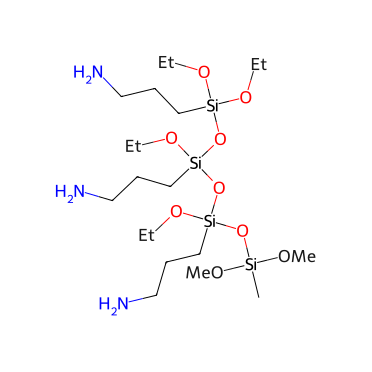 CCO[Si](CCCN)(OCC)O[Si](CCCN)(OCC)O[Si](CCCN)(OCC)O[Si](C)(OC)OC